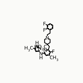 Cc1cc(Nc2cc(C)c(F)c(CC3(C(=O)O)CCN(CCc4cccc(F)c4F)CC3)n2)n[nH]1